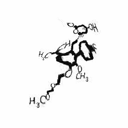 COCCOCCOc1cc(C(C)C)c(C=C[C@H]2C[C@H](O)CC(=O)O2)c(-c2ccc(F)cc2)c1OC